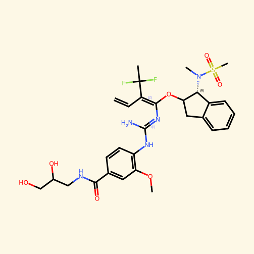 C=C/C(=C(\N=C(/N)Nc1ccc(C(=O)NCC(O)CO)cc1OC)OC1Cc2ccccc2[C@H]1N(C)S(C)(=O)=O)C(C)(F)F